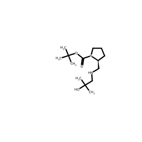 CC(C)(O)CNC[C@@H]1CCCN1C(=O)OC(C)(C)C